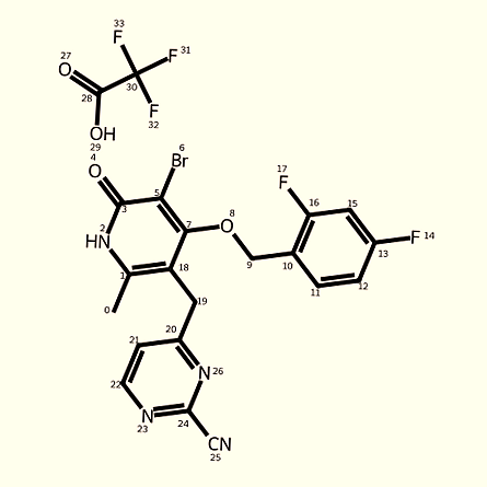 Cc1[nH]c(=O)c(Br)c(OCc2ccc(F)cc2F)c1Cc1ccnc(C#N)n1.O=C(O)C(F)(F)F